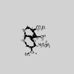 CCOC(=O)c1cnc2ncc(OCC)cc2c1O.O.O